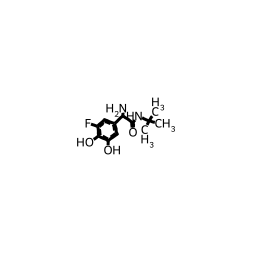 CC(C)(C)NC(=O)C(N)c1cc(O)c(O)c(F)c1